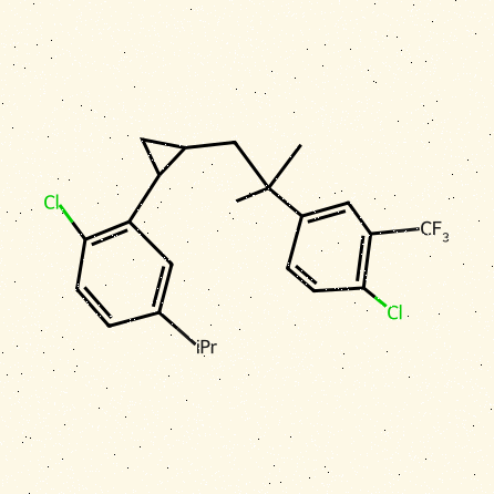 CC(C)c1ccc(Cl)c(C2CC2CC(C)(C)c2ccc(Cl)c(C(F)(F)F)c2)c1